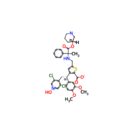 COc1ccc([C@H](Cc2c(Cl)c[n+](O)cc2Cl)c2cc(CNC(C)(C(=O)O[C@H]3CN4CCC3CC4)c3ccccc3)sc2C(=O)[O-])cc1OC